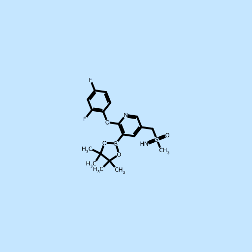 CC1(C)OB(c2cc(CS(C)(=N)=O)cnc2Oc2ccc(F)cc2F)OC1(C)C